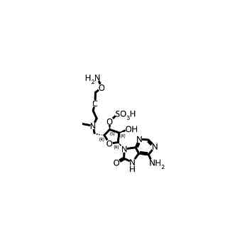 CN(CCCCON)C[C@H]1O[C@@H](n2c(=O)[nH]c3c(N)ncnc32)[C@H](O)[C@@H]1OS(=O)(=O)O